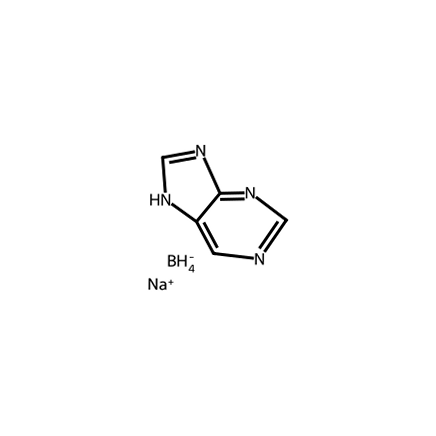 [BH4-].[Na+].c1ncc2[nH]cnc2n1